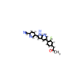 CC(=O)Cc1ccc(-c2cnc3[nH]c(-c4ccc(C#N)nc4)cc3c2)c(F)c1